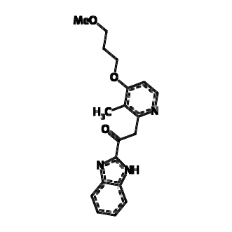 COCCCOc1ccnc(CC(=O)c2nc3ccccc3[nH]2)c1C